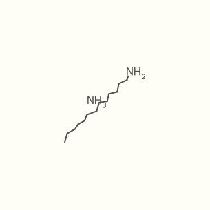 CCCCCCCCCCCCCN.N